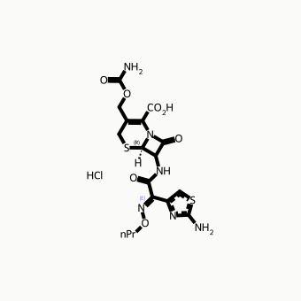 CCCO/N=C(/C(=O)NC1C(=O)N2C(C(=O)O)=C(COC(N)=O)CS[C@H]12)c1csc(N)n1.Cl